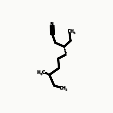 CC[C@@H](C)CCC[C@@H](CC)CC#N